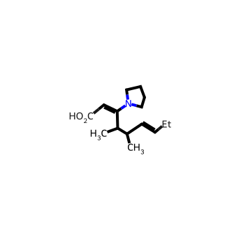 CCC=CC(C)C(C)C(=CC(=O)O)N1CCCC1